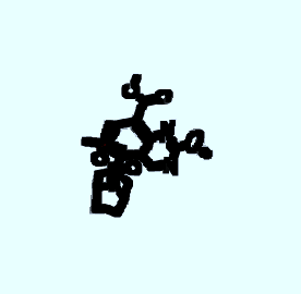 COC(=O)c1ccc(N2CC3CCC(C2)N3C(=O)OC(C)(C)C)c2cnc(OC)nc12